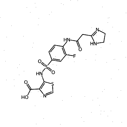 O=C(CC1=NCCN1)Nc1ccc(S(=O)(=O)Nc2scnc2C(=O)O)cc1F